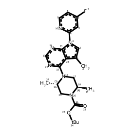 Cc1cn(-c2cc(F)ccn2)c2ncnc(N3C[C@@H](C)N(C(=O)OC(C)(C)C)C[C@@H]3C)c12